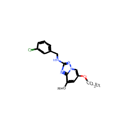 CCOC(=O)Oc1cc(OC)c2nc(NCc3cccc(Cl)c3)nn2c1